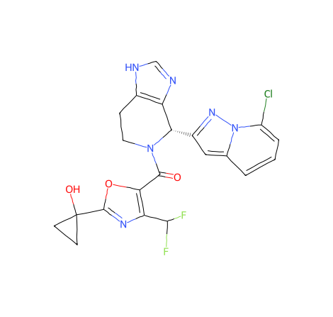 O=C(c1oc(C2(O)CC2)nc1C(F)F)N1CCc2[nH]cnc2[C@@H]1c1cc2cccc(Cl)n2n1